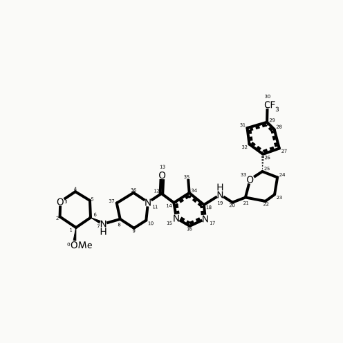 CO[C@H]1COCC[C@H]1NC1CCN(C(=O)c2ncnc(NCC3CCC[C@@H](c4ccc(C(F)(F)F)cc4)O3)c2C)CC1